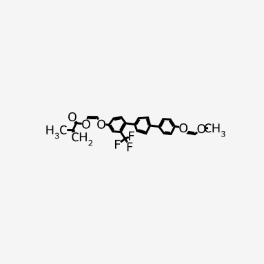 C=C(C)C(=O)O/C=C\Oc1ccc(-c2ccc(-c3ccc(O/C=C\OC)cc3)cc2)c(C(F)(F)F)c1